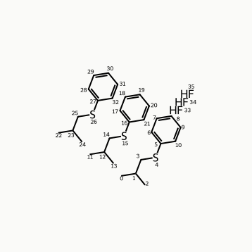 CC(C)CSc1ccccc1.CC(C)CSc1ccccc1.CC(C)CSc1ccccc1.F.F.F